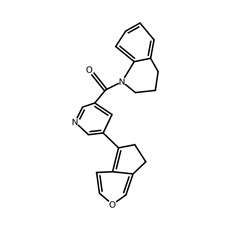 O=C(c1cncc(C2=C3C=COC=C3CC2)c1)N1CCCc2ccccc21